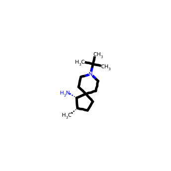 C[C@H]1CCC2(CCN(C(C)(C)C)CC2)[C@H]1N